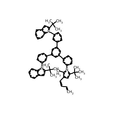 C=C/C=C\c1cc(C(C)(C)C)n(-c2cccc(-c3cc(-c4cccc(-n5c(C(C)(C)C)cc6ccccc65)c4)cc(-c4cccc(-n5c(C(C)(C)C)cc6ccccc65)c4)c3)c2)c1C